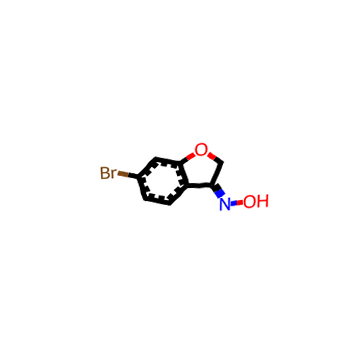 ON=C1COc2cc(Br)ccc21